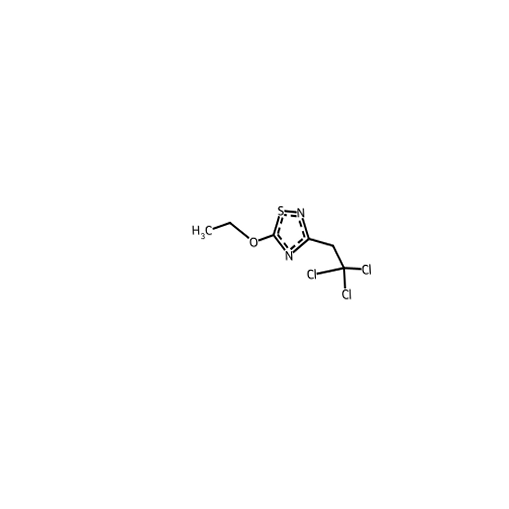 CCOc1nc(CC(Cl)(Cl)Cl)ns1